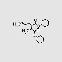 CC=CCC(C(=O)OC1CCCCC1)C(C)C(=O)OC1CCCCC1